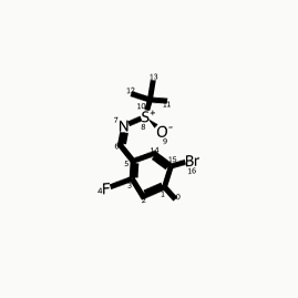 Cc1cc(F)c(/C=N\[S@+]([O-])C(C)(C)C)cc1Br